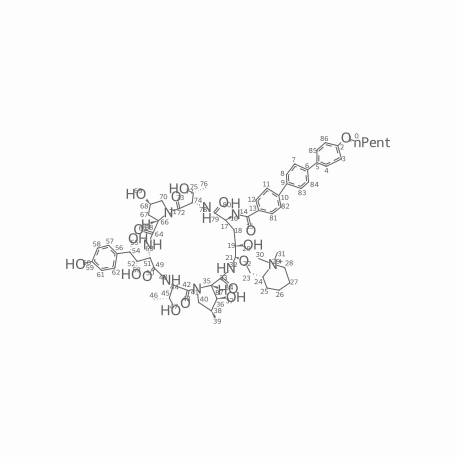 CCCCCOc1ccc(-c2ccc(-c3ccc(C(=O)N[C@H]4C[C@@H](O)[C@@H](OC[C@H]5CCCC[N+]5(C)C)NC(=O)[C@@H]5[C@@H](O)[C@@H](C)CN5C(=O)[C@H]([C@@H](C)O)NC(=O)[C@H]([C@H](O)[C@@H](O)c5ccc(O)cc5)NC(=O)[C@@H]5C[C@@H](O)CN5C(=O)[C@H]([C@@H](C)O)NC4=O)cc3)cc2)cc1